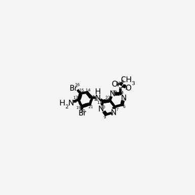 CS(=O)(=O)c1ncc2ncnc(Nc3cc(Br)c(N)c(Br)c3)c2n1